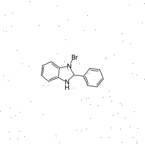 BrN1c2ccccc2NC1c1ccccc1